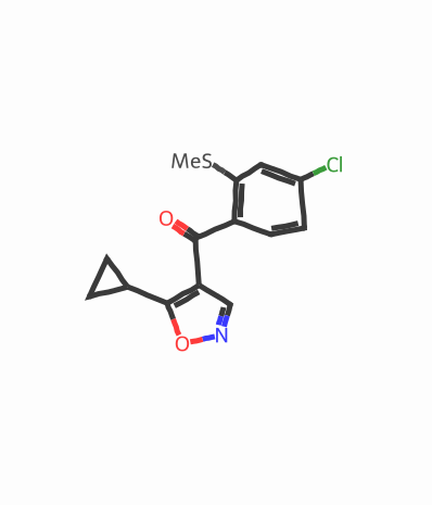 CSc1cc(Cl)ccc1C(=O)c1cnoc1C1CC1